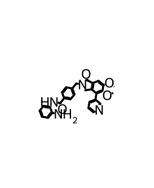 COc1cc2c(c(-c3cccnc3)c1OC)CN(Cc1ccc(C(=O)Nc3ccccc3N)cc1)C2=O